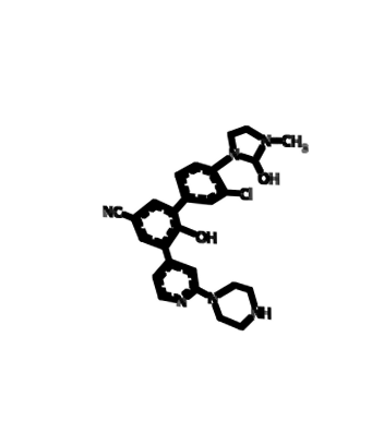 CN1CCN(c2ccc(-c3cc(C#N)cc(-c4ccnc(N5CCNCC5)c4)c3O)cc2Cl)C1O